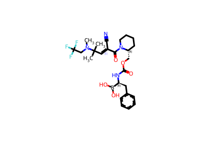 CN(CC(F)(F)F)C(C)(C)/C=C(\C#N)C(=O)N1CCCC[C@@H]1COC(=O)N[C@@H](Cc1ccccc1)B(O)O